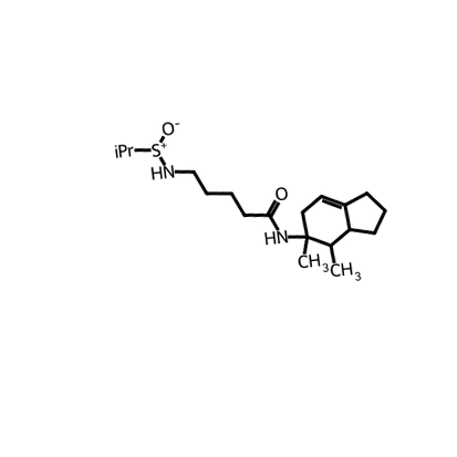 CC(C)[S+]([O-])NCCCCC(=O)NC1(C)CC=C2CCCC2C1C